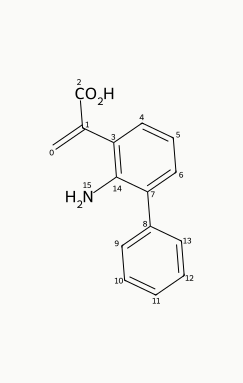 C=C(C(=O)O)c1cccc(-c2ccccc2)c1N